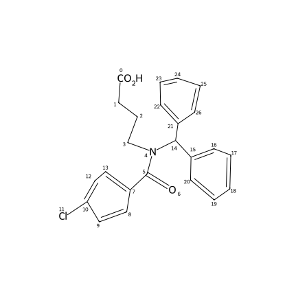 O=C(O)CCCN(C(=O)c1ccc(Cl)cc1)C(c1ccccc1)c1ccccc1